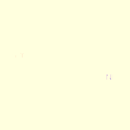 CCCC(C)CC/C=C\C=N